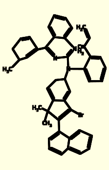 C=CC(=C)c1ccccc1N(c1nc(C2=CC(C)CC=C2)c2ccccc2n1)C1C=C2C(=CC1)C(C)(C)C(c1cccc3ccccc13)=C2Br